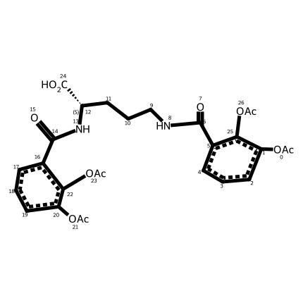 CC(=O)Oc1cccc(C(=O)NCCC[C@H](NC(=O)c2cccc(OC(C)=O)c2OC(C)=O)C(=O)O)c1OC(C)=O